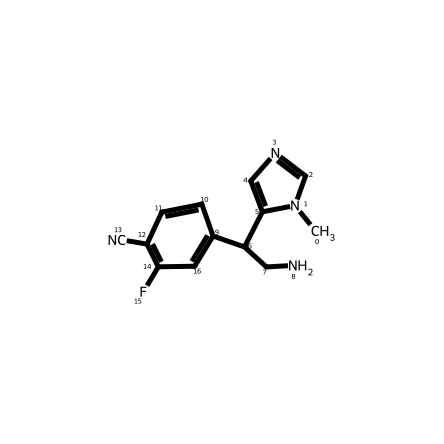 Cn1cncc1C(CN)c1ccc(C#N)c(F)c1